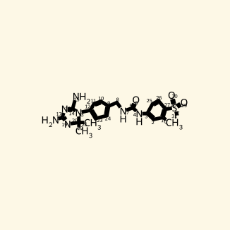 Cc1cc(NC(=O)NCc2ccc(N3C(N)=NC(N)=NC3(C)C)cc2)ccc1S(=O)(=O)F